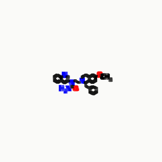 COc1ccc2c(c1)CCN(CCN(C(N)=O)c1cnc3ccccc3c1)C2Cc1ccccc1